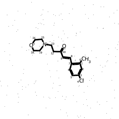 Cc1cc(Cl)ccc1C=CC(=O)CCN1CCOCC1